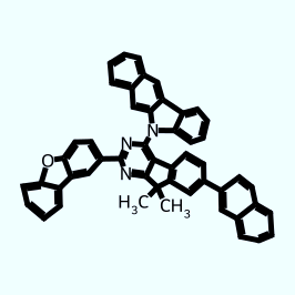 CC1(C)c2cc(-c3ccc4ccccc4c3)ccc2-c2c(-n3c4ccccc4c4cc5ccccc5cc43)nc(-c3ccc4oc5ccccc5c4c3)nc21